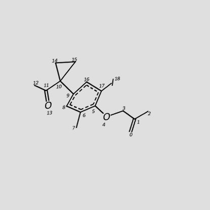 C=C(C)COc1c(C)cc(C2(C(C)=O)CC2)cc1I